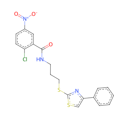 O=C(NCCCSc1nc(-c2ccccc2)cs1)c1cc([N+](=O)[O-])ccc1Cl